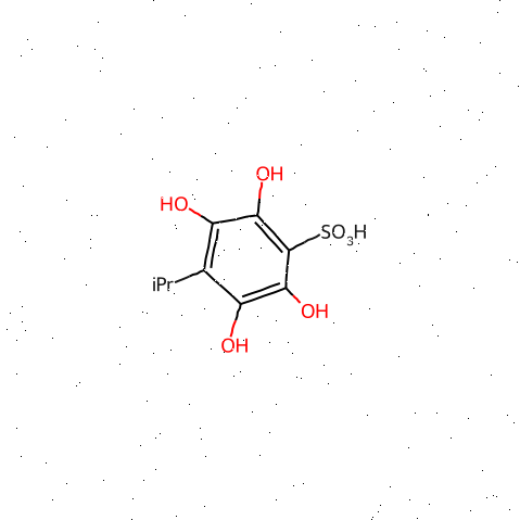 CC(C)c1c(O)c(O)c(S(=O)(=O)O)c(O)c1O